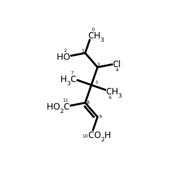 CC(O)C(Cl)C(C)(C)/C(=C/C(=O)O)C(=O)O